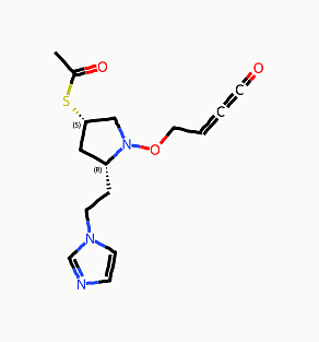 CC(=O)S[C@H]1C[C@@H](CCn2ccnc2)N(OCC=C=C=O)C1